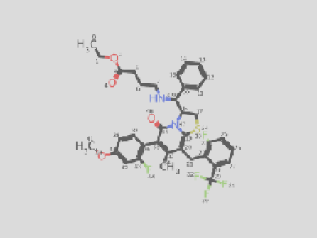 CCOC(=O)CCCNC(c1ccccc1)C1CSc2c(Cc3c(F)cccc3C(F)(F)F)c(C)c(-c3ccc(OC)cc3F)c(=O)n21